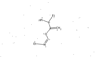 C=C(O/C=N\CC)C(CC)CCC